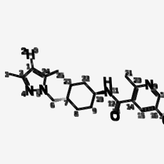 [2H]c1c(C)nn(C[C@H]2CC[C@H](NC(=O)c3cc(Cl)cnc3C)CC2)c1C